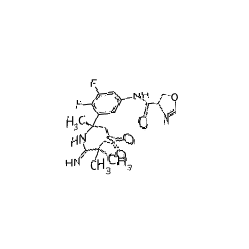 CC1(C)C(=N)N[C@](C)(c2cc(NC(=O)C3COC=N3)cc(F)c2F)CS1(=O)=O